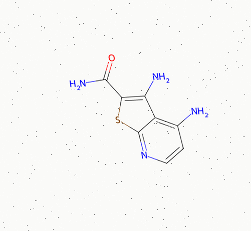 NC(=O)c1sc2nccc(N)c2c1N